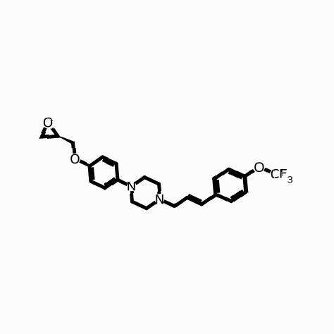 FC(F)(F)Oc1ccc(/C=C/CN2CCN(c3ccc(OC[C@H]4CO4)cc3)CC2)cc1